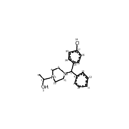 CC(O)N1CCN(C(c2ccccc2)c2ccc(Cl)cc2)CC1